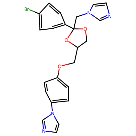 Brc1ccc(C2(Cn3ccnc3)OCC(COc3ccc(-n4ccnc4)cc3)O2)cc1